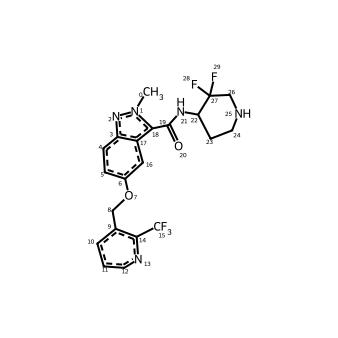 Cn1nc2ccc(OCc3cccnc3C(F)(F)F)cc2c1C(=O)NC1CCNCC1(F)F